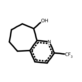 OC1CCCCc2ccc(C(F)(F)F)nc21